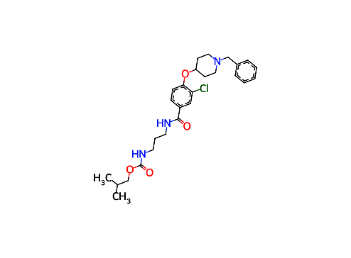 CC(C)COC(=O)NCCCNC(=O)c1ccc(OC2CCN(Cc3ccccc3)CC2)c(Cl)c1